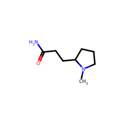 CN1C[CH]CC1CCC(N)=O